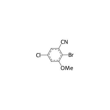 COc1cc(Cl)cc(C#N)c1Br